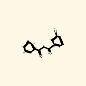 O=C(CC(=O)c1cccc(Cl)c1)c1ccccc1